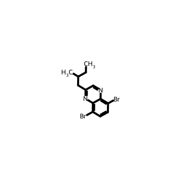 CCC(C)Cc1cnc2c(Br)ccc(Br)c2n1